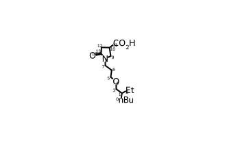 CCCCC(CC)COCCCN1CC(C(=O)O)CC1=O